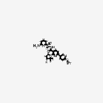 CC(C)Oc1ccc(-c2ccc(C(=O)NS(=O)(=O)c3cccc(N)n3)c(N3CC[C@@H](C)C3(C)C)n2)cn1